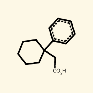 O=C(O)CC1(c2ccccc2)CCCCC1